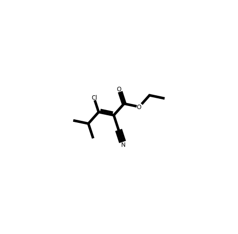 CCOC(=O)/C(C#N)=C(\Cl)C(C)C